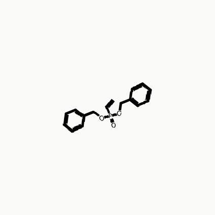 C=CP(=O)(OCc1ccccc1)OCc1ccccc1